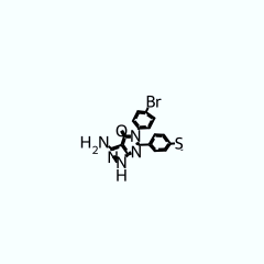 CSc1ccc(-c2nc3[nH]nc(N)c3c(=O)n2-c2ccc(Br)cc2)cc1